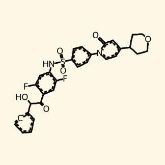 O=C(c1cc(F)c(NS(=O)(=O)c2ccc(-n3ccc(C4CCOCC4)cc3=O)cc2)cc1F)C(O)c1ccccc1